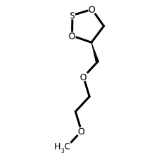 COCCOC[C@@H]1COSO1